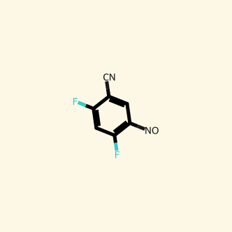 N#Cc1cc(N=O)c(F)cc1F